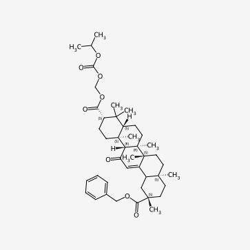 CC(C)OC(=O)OCOC(=O)[C@H]1CC[C@]2(C)[C@H]3C(=O)C=C4C5C[C@@](C)(C(=O)OCc6ccccc6)CC[C@]5(C)CC[C@@]4(C)[C@]3(C)CC[C@H]2C1(C)C